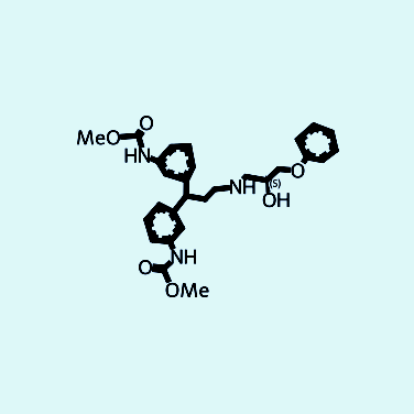 COC(=O)Nc1cccc(C(CCNC[C@H](O)COc2ccccc2)c2cccc(NC(=O)OC)c2)c1